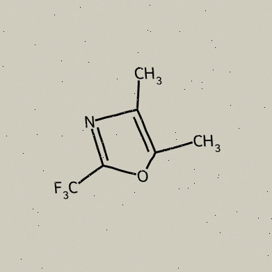 Cc1nc(C(F)(F)F)oc1C